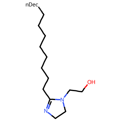 CCCCCCCCCCCCCCCCCCC1=NCCN1CCO